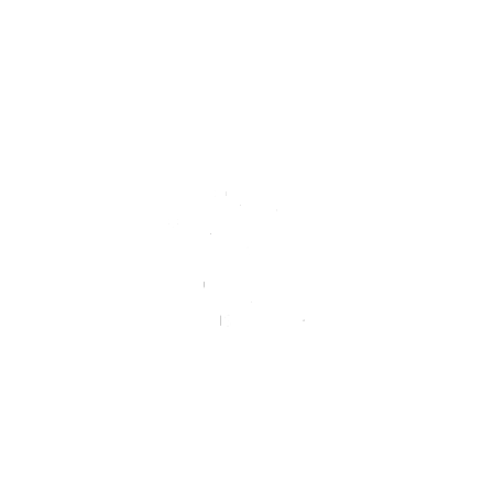 CCC(O)(C(=O)O)c1ccccc1S